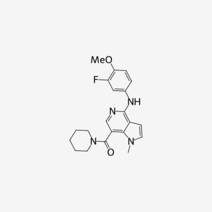 COc1ccc(Nc2ncc(C(=O)N3CCCCC3)c3c2ccn3C)cc1F